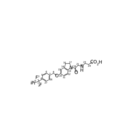 CC(C)C(F)(F)c1ccc(COc2ccc3c(c2)CCN3C(=O)CNCCC(=O)O)cc1